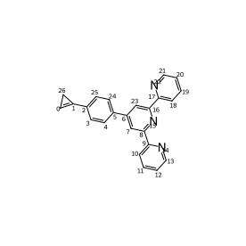 C1=C(c2ccc(-c3cc(-c4ccccn4)nc(-c4ccccn4)c3)cc2)C1